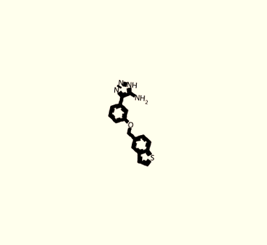 Nc1[nH]nnc1-c1cccc(OCc2ccc3sccc3c2)c1